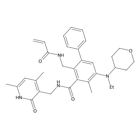 C=CC(=O)NCc1c(-c2ccccc2)cc(N(CC)C2CCOCC2)c(C)c1C(=O)NCc1c(C)cc(C)[nH]c1=O